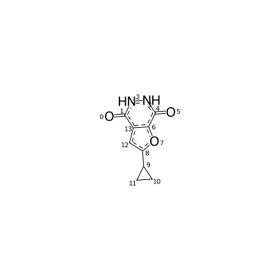 O=c1[nH][nH]c(=O)c2oc(C3CC3)cc12